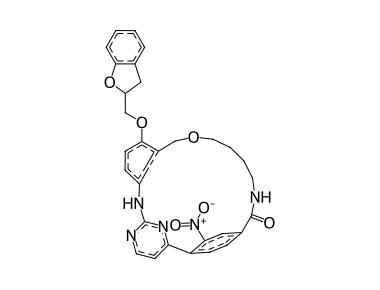 O=C1NCCCCOCc2cc(ccc2OCC2Cc3ccccc3O2)Nc2nccc(n2)-c2ccc1cc2[N+](=O)[O-]